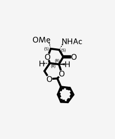 CO[C@H]1O[C@@H]2COC(c3ccccc3)O[C@H]2C(=O)[C@H]1NC(C)=O